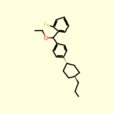 CCC[C@H]1CC[C@H](c2ccc(C(OCC)c3ccccc3F)cc2)CC1